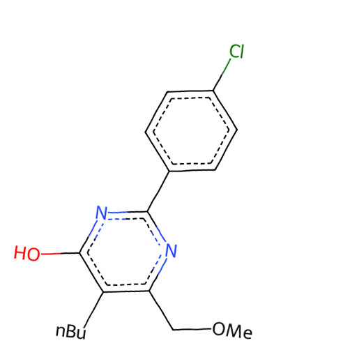 CCCCc1c(O)nc(-c2ccc(Cl)cc2)nc1COC